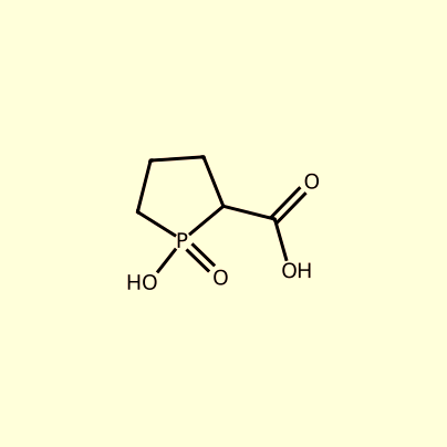 O=C(O)C1CCCP1(=O)O